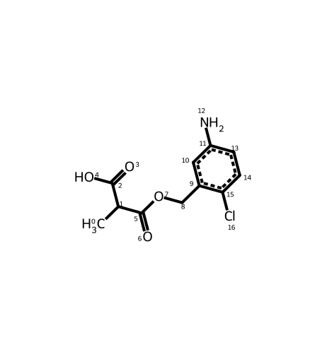 CC(C(=O)O)C(=O)OCc1cc(N)ccc1Cl